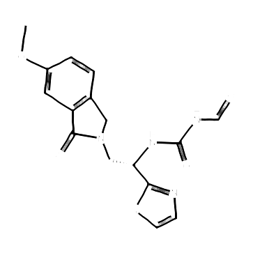 COc1ccc2c(c1)C(=O)N(C[C@H](NC(=O)NC=O)c1nccs1)C2